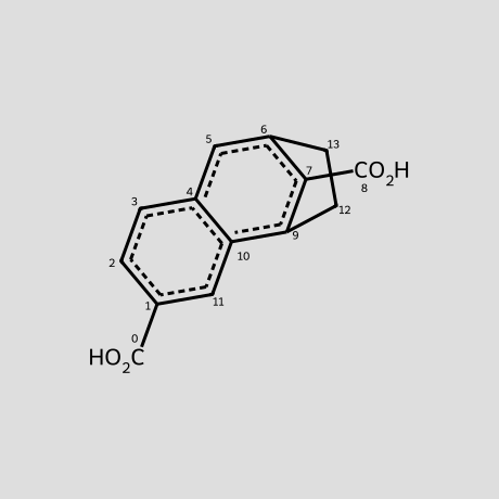 O=C(O)c1ccc2cc3c(C(=O)O)c(c2c1)CC3